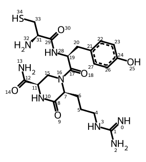 N=C(N)NCCC[C@H]1C(=O)N[C@@H](C(N)=O)CN1C(=O)[C@H](Cc1ccc(O)cc1)NC(=O)[C@@H](N)CS